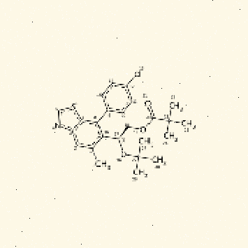 Cc1cc2ncsc2c(-c2ccc(Cl)cc2)c1[C@@H](COC(=O)C(C)(C)C)OC(C)(C)C